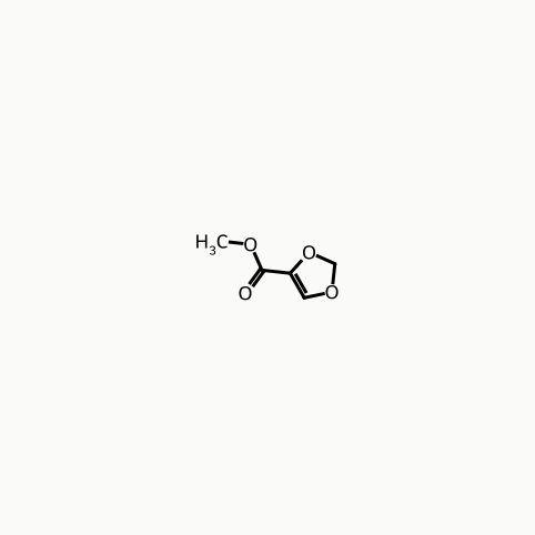 COC(=O)C1=COCO1